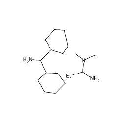 CCC(N)N(C)C.NC(C1CCCCC1)C1CCCCC1